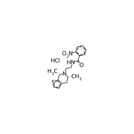 C[C@@H]1Cc2ccsc2[C@H](C)N1CCNC(=O)c1ccccc1[N+](=O)[O-].Cl